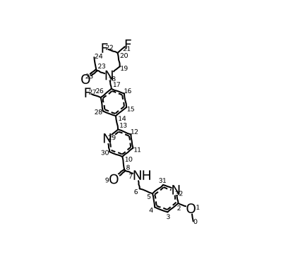 COc1ccc(CNC(=O)c2ccc(-c3ccc(N(CC(F)F)C(C)=O)c(F)c3)nc2)cn1